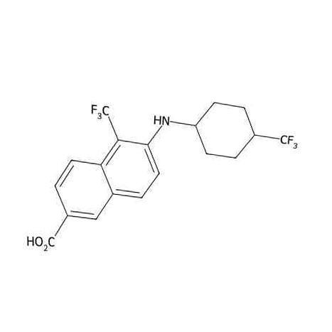 O=C(O)c1ccc2c(C(F)(F)F)c(NC3CCC(C(F)(F)F)CC3)ccc2c1